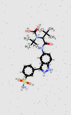 CC(C)(C)C(C(=O)Nc1ccc2[nH]nc(-c3cccc(S(N)(=O)=O)c3)c2c1)N(C(=O)O)C(C)(C)C